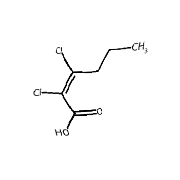 CCC/C(Cl)=C(/Cl)C(=O)O